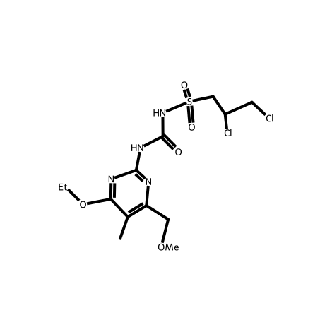 CCOc1nc(NC(=O)NS(=O)(=O)CC(Cl)CCl)nc(COC)c1C